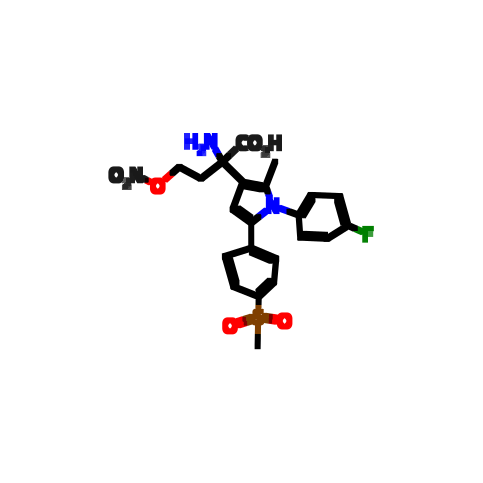 Cc1c(C(N)(CCO[N+](=O)[O-])C(=O)O)cc(-c2ccc(S(C)(=O)=O)cc2)n1-c1ccc(F)cc1